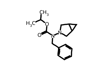 CC(C)OC(=O)N(Cc1ccccc1)N1CC2CC2C1